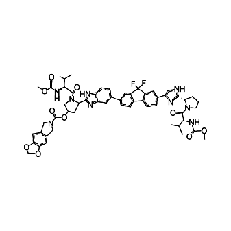 COC(=O)N[C@H](C(=O)N1CC(OC(=O)N2Cc3cc4c(cc3C2)OCO4)CC1c1nc2cc(-c3ccc4c(c3)C(F)(F)c3cc(-c5c[nH]c([C@@H]6CCCN6C(=O)[C@@H](NC(=O)OC)C(C)C)n5)ccc3-4)ccc2[nH]1)C(C)C